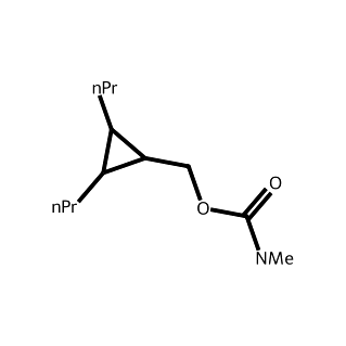 CCCC1C(CCC)C1COC(=O)NC